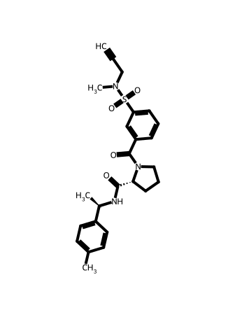 C#CCN(C)S(=O)(=O)c1cccc(C(=O)N2CCC[C@@H]2C(=O)N[C@H](C)c2ccc(C)cc2)c1